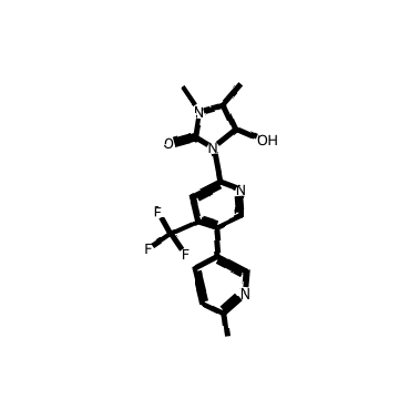 Cc1ccc(-c2cnc(N3C(=O)N(C)C(C)C3O)cc2C(F)(F)F)cn1